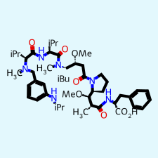 CC[C@H](C)[C@@H]([C@@H](CC(=O)N1CCC[C@H]1[C@H](OC)[C@@H](C)C(=O)N[C@@H](Cc1ccccc1)C(=O)O)OC)N(C)C(=O)[C@@H](NC(=O)[C@H](C(C)C)N(C)Cc1cccc(NC(C)C)c1)C(C)C